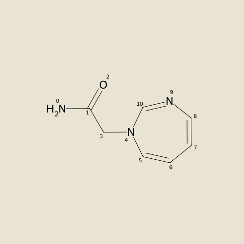 NC(=O)CN1C=CC=CN=C1